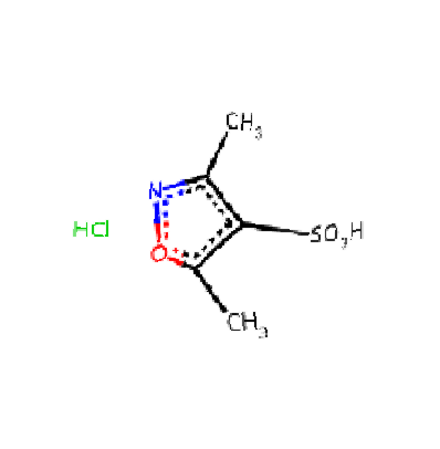 Cc1noc(C)c1S(=O)(=O)O.Cl